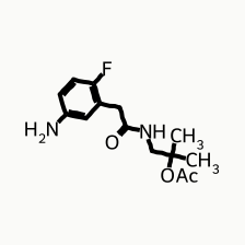 CC(=O)OC(C)(C)CNC(=O)Cc1cc(N)ccc1F